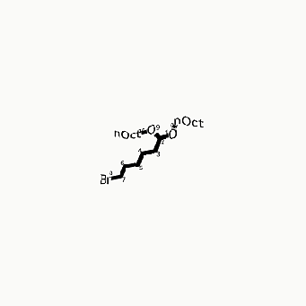 CCCCCCCCOC(CCCCCBr)OCCCCCCCC